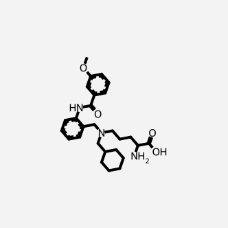 COc1cccc(C(=O)Nc2ccccc2CN(CCCC(N)C(=O)O)CC2CCCCC2)c1